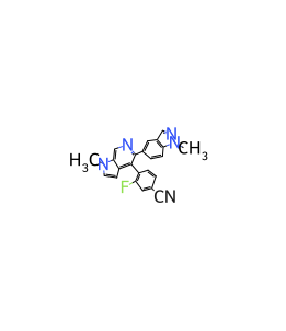 Cn1ccc2c(-c3ccc(C#N)cc3F)c(-c3ccc4c(cnn4C)c3)ncc21